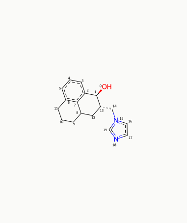 O[C@@H]1c2cccc3c2C(CCC3)C[C@H]1Cn1ccnc1